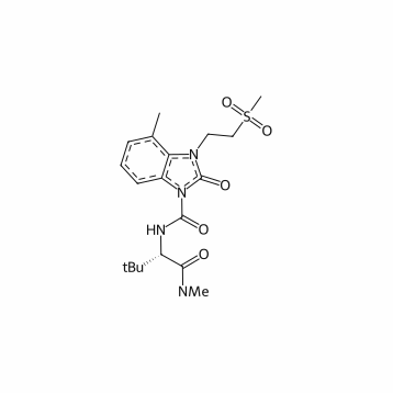 CNC(=O)[C@@H](NC(=O)n1c(=O)n(CCS(C)(=O)=O)c2c(C)cccc21)C(C)(C)C